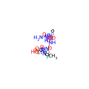 CC[C@@]1(O)C(=O)OCc2c1cc1n(c2=O)Cc2c-1nc1cc(F)c(C)c3c1c2[C@@H](NC(=O)CCCNC(=O)CNC(=O)[C@H](Cc1ccccc1)NC(=O)CNC(=O)CCN)CC3